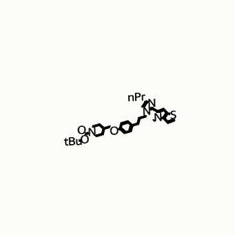 CCCc1cn(CCCc2ccc(OCC3CCN(C(=O)OC(C)(C)C)CC3)cc2)c(-c2cc3sccc3n2C)n1